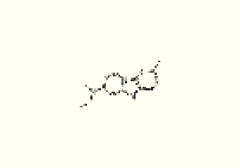 CCN(C)c1ccn2c(c1)nc1ccc(C)cc12